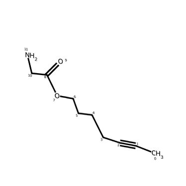 CC#CCCCCOC(=O)CN